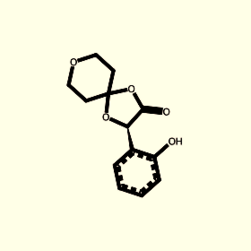 O=C1OC2(CCOCC2)O[C@@H]1c1ccccc1O